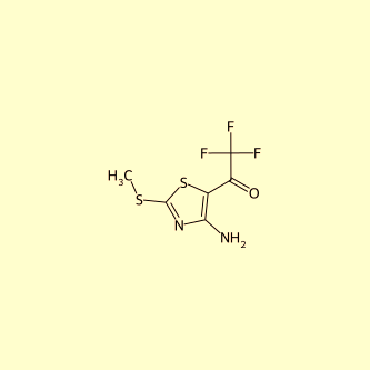 CSc1nc(N)c(C(=O)C(F)(F)F)s1